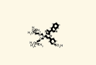 C[Si](C)(C)CCOCN(COCC[Si](C)(C)C)c1cc(C2=CCN(C(=O)O)CC2)nc2c(-c3cnc4ccccc4c3)cnn12